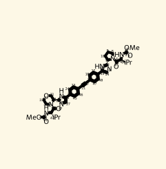 COC(=O)N[C@H](C(=O)N1CCC[C@H]1c1ncc(-c2ccc(C#Cc3ccc(-c4cnc([C@@H]5COCCN5C(=O)[C@@H](NC(=O)OC)C(C)C)[nH]4)cc3)cc2)[nH]1)C(C)C